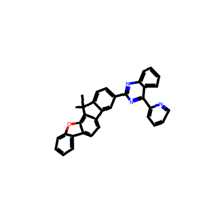 CC1(C)c2ccc(-c3nc(-c4ccccn4)c4ccccc4n3)cc2-c2ccc3c(oc4ccccc43)c21